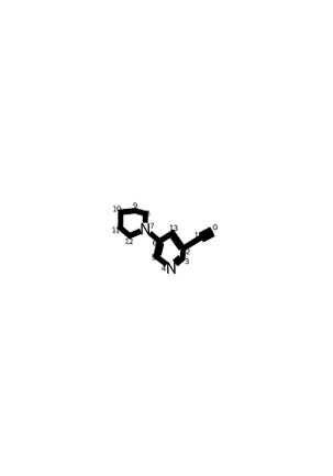 C#Cc1cncc(N2CCCCC2)c1